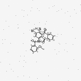 COc1ccccc1C(=O)Nc1cc(Br)c(N)c2c1C(=O)c1ccccc1C2=O